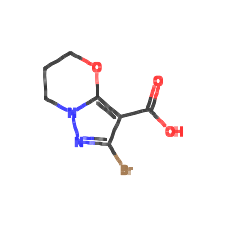 O=C(O)c1c(Br)nn2c1OCCC2